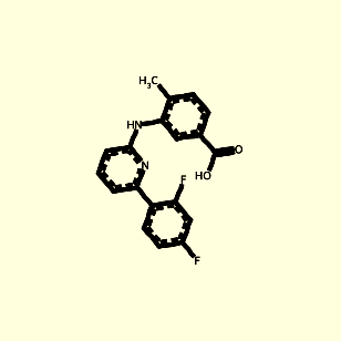 Cc1ccc(C(=O)O)cc1Nc1cccc(-c2ccc(F)cc2F)n1